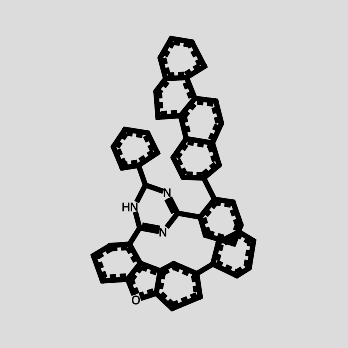 c1ccc(-c2ccc3oc4cccc(C5=NC(c6ccccc6-c6ccc7c(ccc8c9ccccc9ccc78)c6)=NC(c6ccccc6)N5)c4c3c2)cc1